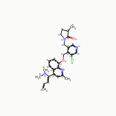 C=C/C=C(/c1cc(C)nc2c(OCc3c(Cl)cncc3CN3CCC(C)C3=O)cccc12)N(C)C